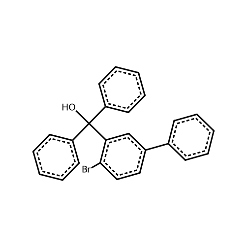 OC(c1ccccc1)(c1ccccc1)c1cc(-c2ccccc2)ccc1Br